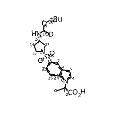 CC(C(=O)O)n1ccc2cc(S(=O)(=O)N3CC[C@H](NC(=O)OC(C)(C)C)C3)ccc21